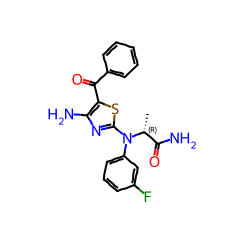 C[C@H](C(N)=O)N(c1cccc(F)c1)c1nc(N)c(C(=O)c2ccccc2)s1